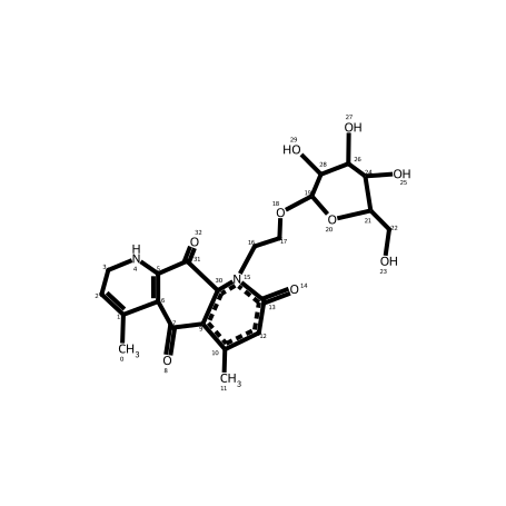 CC1=CCNC2=C1C(=O)c1c(C)cc(=O)n(CCOC3OC(CO)C(O)C(O)C3O)c1C2=O